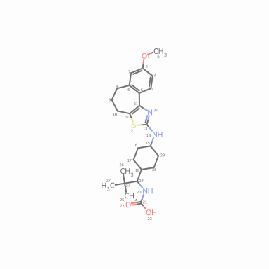 COc1ccc2c(c1)CCCc1sc(NC3CCC(C(NC(=O)O)C(C)(C)C)CC3)nc1-2